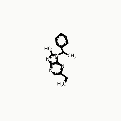 C=Cc1cnc2nc(O)n(C(C)c3ccccc3)c2n1